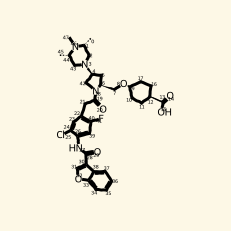 C[C@@H]1CN([C@H]2C[C@@H](CO[C@H]3CC[C@H](C(=O)O)CC3)N(C(=O)Cc3cc(Cl)c(NC(=O)c4coc5ccccc45)cc3F)C2)C[C@H](C)N1C